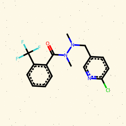 CN(Cc1ccc(Cl)nc1)N(C)C(=O)c1ccccc1C(F)(F)F